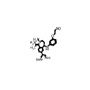 CN/C=C(\C=N)c1ccc2c(c1)C(Nc1cccc(OCCN=O)c1)CCN(N)/C2=C(/C)N